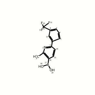 Cc1nc(-c2cccc(C(F)(F)F)c2)ccc1B(O)O